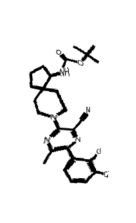 Cc1nc(N2CCC3(CCCC3NC(=O)OC(C)(C)C)CC2)c(C#N)nc1-c1cccc(Cl)c1Cl